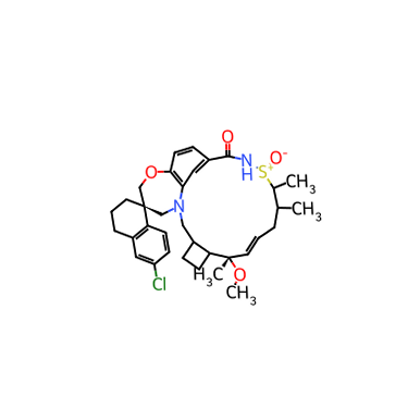 CO[C@@]1(C)/C=C/CC(C)C(C)[S+]([O-])NC(=O)c2ccc3c(c2)N(CC2CCC21)C[C@@]1(CCCc2cc(Cl)ccc21)CO3